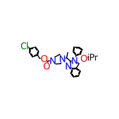 CC(C)Oc1ccccc1N1Cc2ccccc2N=C1C(C)N1CCN(C(=O)OCc2ccc(Cl)cc2)CC1